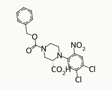 O=C(O)[C@@H]1CN(C(=O)OCc2ccccc2)CCN1c1cc(Cl)c(Cl)cc1[N+](=O)[O-]